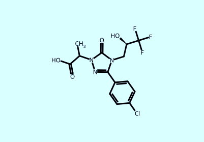 CC(C(=O)O)n1nc(-c2ccc(Cl)cc2)n(C[C@@H](O)C(F)(F)F)c1=O